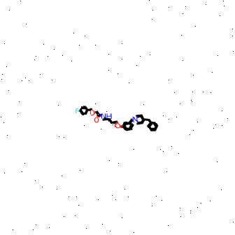 O=C(COCc1ccc(F)cc1)NCCCCOc1cccc(CN2CCC(Cc3ccccc3)CC2)c1